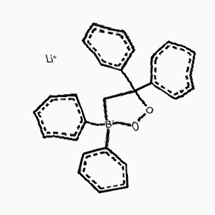 [Li+].c1ccc([B-]2(c3ccccc3)CC(c3ccccc3)(c3ccccc3)OO2)cc1